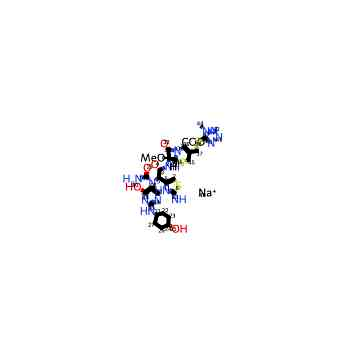 CO[C@@]1(NC(=O)C(c2csc(=N)[nH]2)N(C(N)=O)c2cnc(NC3CCC(O)CC3)nc2O)C(=O)N2C(C(=O)[O-])=C(CSc3nnnn3C)CS[C@H]21.[Na+]